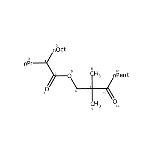 CCCCCCCCC(CCC)C(=O)OCC(C)(C)C(=O)CCCCC